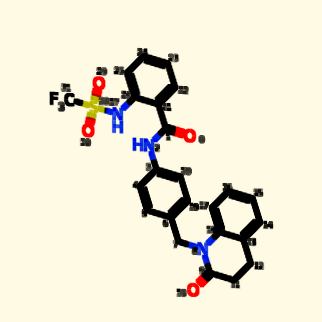 O=C(Nc1ccc(CN2C(=O)CCc3ccccc32)cc1)c1ccccc1NS(=O)(=O)C(F)(F)F